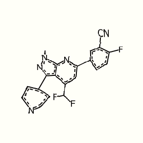 Cn1nc(-c2ccncc2)c2c(C(F)F)cc(-c3ccc(F)c(C#N)c3)nc21